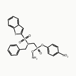 NOP(=O)(CN(Cc1ccccc1)S(=O)(=O)c1cc2ccccc2s1)Oc1ccc([N+](=O)[O-])cc1